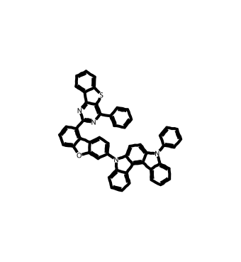 c1ccc(-c2nc(-c3cccc4oc5cc(-n6c7ccccc7c7c8c9ccccc9n(-c9ccccc9)c8ccc76)ccc5c34)nc3c2sc2ccccc23)cc1